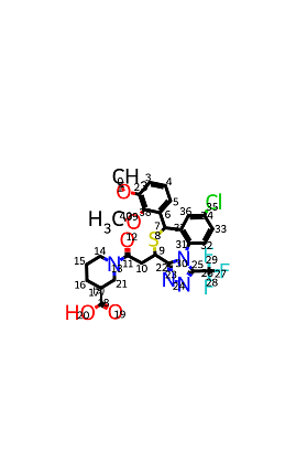 COc1cccc(C2SC(CC(=O)N3CCC[C@H](C(=O)O)C3)c3nnc(C(F)(F)F)n3-c3ccc(Cl)cc32)c1OC